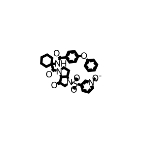 O=C(NC1(C(=O)N2CCC3C2C(=O)CN3S(=O)(=O)c2ccc[n+]([O-])c2)CCCCC1)c1ccc(Oc2ccccc2)cc1